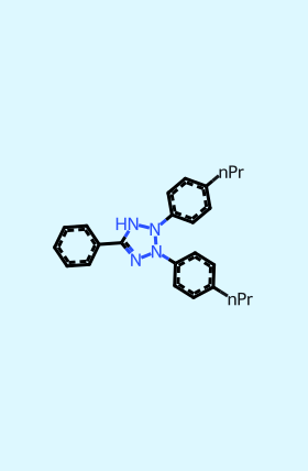 CCCc1ccc(N2N=C(c3ccccc3)NN2c2ccc(CCC)cc2)cc1